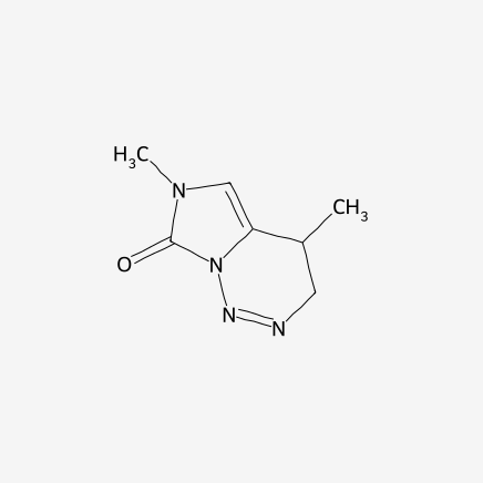 CC1CN=Nn2c1cn(C)c2=O